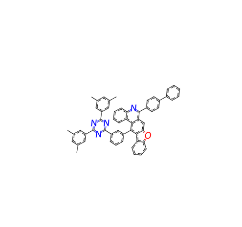 Cc1cc(C)cc(-c2nc(-c3cc(C)cc(C)c3)nc(-c3cccc(-c4c5c(cc6c(-c7ccc(-c8ccccc8)cc7)nc7ccccc7c46)oc4ccccc45)c3)n2)c1